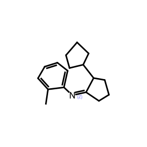 Cc1ccccc1/N=C1/CCCC1C1CCCC1